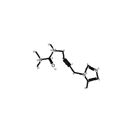 Cc1cncn1CC#CCN(C)C(=O)N(C)C